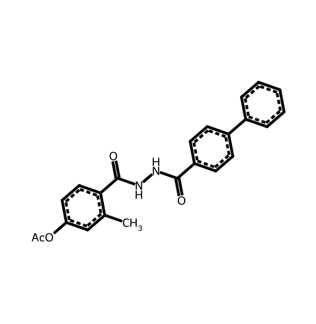 CC(=O)Oc1ccc(C(=O)NNC(=O)c2ccc(-c3ccccc3)cc2)c(C)c1